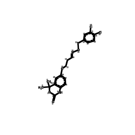 CC1(C)OC(=O)Nc2ccc(OCCC=NOSc3ccc(Cl)c(Cl)c3)cc21